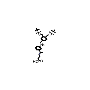 C/C(=C\CCC(=O)O)c1cccc(N(C)Cc2ccc(CO[Si](C)(C)C(C)(C)C)c(CO[Si](C)(C)C(C)(C)C)c2)c1